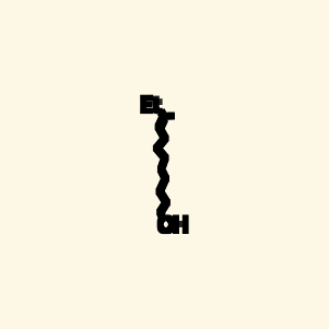 CC/C(C)=C/CCCCCCCCO